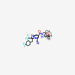 [2H]C([2H])([2H])OC(C)(C)CNC(=O)c1cc(C#N)n2c(CC3CCC(F)(F)CC3)c(C(F)(F)F)nc2c1